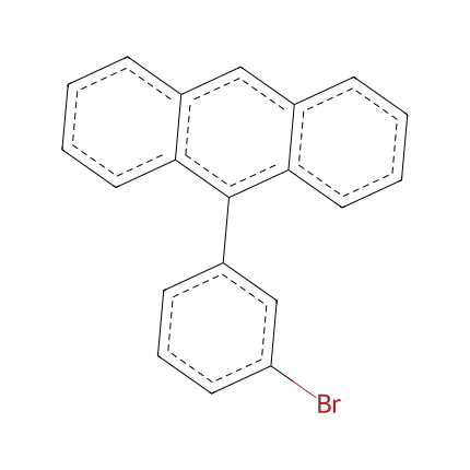 Brc1cccc(-c2c3ccccc3cc3ccccc23)c1